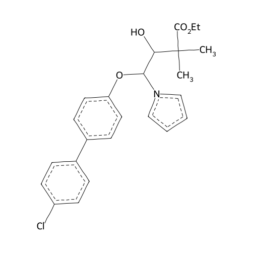 CCOC(=O)C(C)(C)C(O)C(Oc1ccc(-c2ccc(Cl)cc2)cc1)n1cccc1